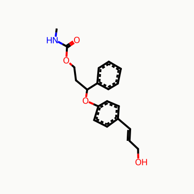 CNC(=O)OCCC(Oc1ccc(C=CCO)cc1)c1ccccc1